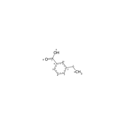 C[CH]c1cccc(C(=O)O)c1